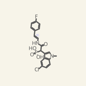 Cn1cc(C(C(=O)N/C=C/c2ccc(F)cc2)P(=O)(O)O)c2cc(Cl)ccc21